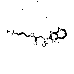 CC=CCOC(=O)C[S+]([O-])c1nc2cccnc2s1